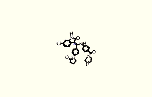 CN1CCN(C(=O)c2ccc(N/C(=C3\C(=O)Nc4cc(Cl)ccc43)c3ccc(N4CCCC4=O)cc3)cc2)CC1